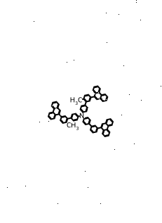 Cc1ccc(-c2cc3ccccc3c3ccccc23)cc1-c1ccc(N(c2ccc(-c3cccc(-c4cc5ccccc5c5ccccc45)c3)cc2)c2ccc(-c3cc(-c4cc5ccccc5c5ccccc45)ccc3C)cc2)cc1